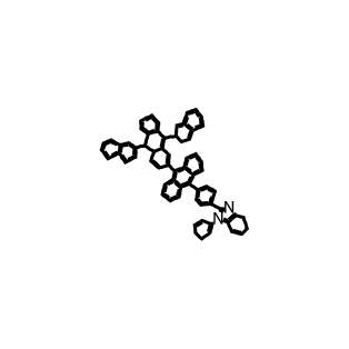 C1=CC(n2c(-c3ccc(-c4c5ccccc5c(C5=CC6=C(C7C=c8ccccc8=CC7)c7ccccc7C(c7ccc8ccccc8c7)C6C=C5)c5ccccc45)cc3)nc3c2C=CCC3)=CCC1